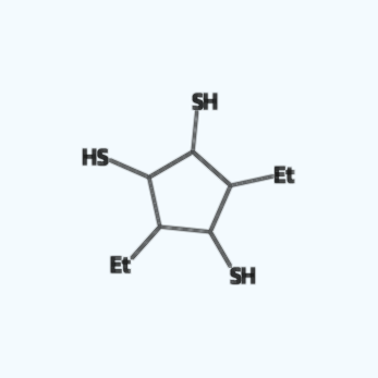 CCC1C(S)C(S)C(CC)C1S